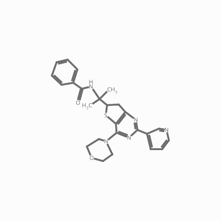 CC(C)(NC(=O)c1ccccc1)C1Cc2nc(-c3cccnc3)nc(N3CCOCC3)c2S1